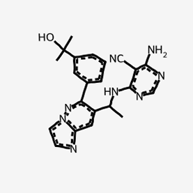 CC(Nc1ncnc(N)c1C#N)c1cc2nccn2nc1-c1cccc(C(C)(C)O)c1